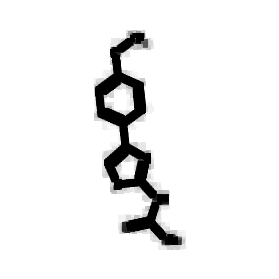 CCCCC(=O)Nc1nc(-c2ccc(OC(F)(F)F)cc2)cs1